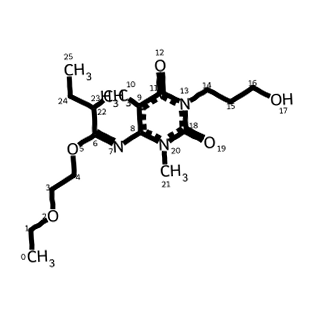 CCOCCO/C(=N/c1c(C)c(=O)n(CCCO)c(=O)n1C)C(C)CC